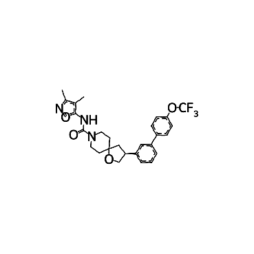 Cc1noc(NC(=O)N2CCC3(CC2)C[C@@H](c2cccc(-c4ccc(OC(F)(F)F)cc4)c2)CO3)c1C